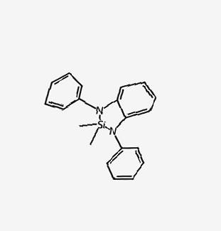 C[Si]1(C)N(c2ccccc2)c2ccccc2N1c1ccccc1